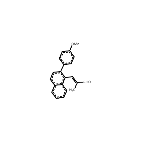 COc1ccc(-c2ccc3ccccc3c2/C=C(\C)C=O)cc1